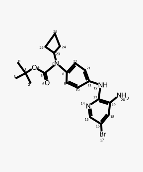 CC(C)(C)OC(=O)N(c1ccc(Nc2ncc(Br)cc2N)cc1)C1CCC1